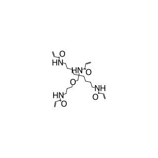 C=CC(=O)NCCCCC(CCCCNC(=O)C=C)(COCCCNC(=O)C=C)NC(=O)C=C